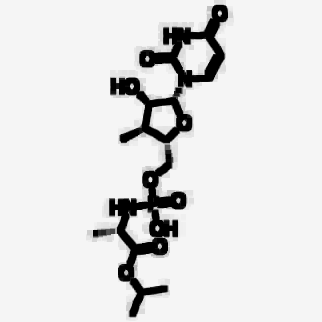 CC(C)OC(=O)[C@H](C)NP(=O)(O)OC[C@H]1O[C@@H](n2ccc(=O)[nH]c2=O)[C@H](O)[C@@H]1C